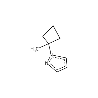 CC1(n2cccn2)CCC1